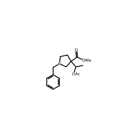 COC(=O)C1(C(C)OC(C)=O)CCN(Cc2ccccc2)C1